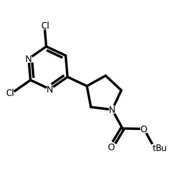 CC(C)(C)OC(=O)N1CCC(c2cc(Cl)nc(Cl)n2)C1